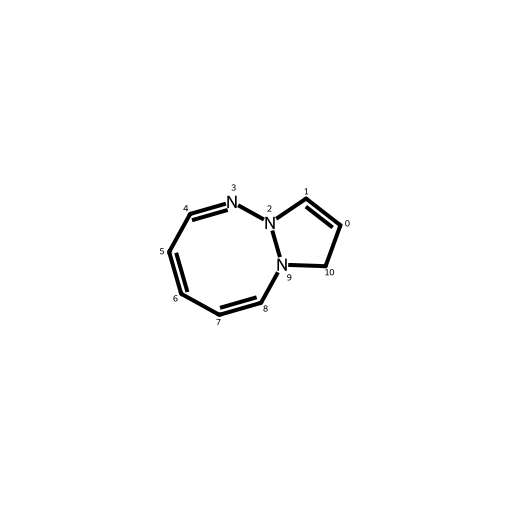 C1=Cn2ncccccn2C1